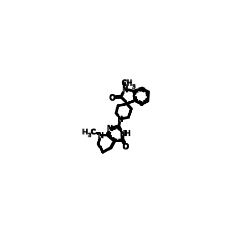 CN1CCCc2c1nc(N1CCC3(CC1)C(=O)N(C)c1ccccc13)[nH]c2=O